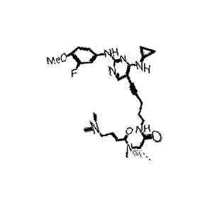 COc1ccc(Nc2ncc(C#CCCCNC(=O)[C@H](C)N(C)C(=O)C=CCN(C)C)c(NC3CC3)n2)cc1F